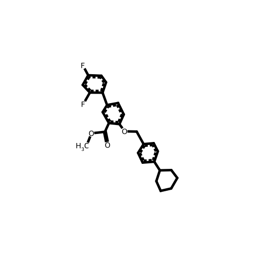 COC(=O)c1cc(-c2ccc(F)cc2F)ccc1OCc1ccc(C2CCCCC2)cc1